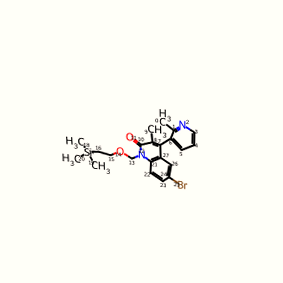 Cc1ncccc1-c1c(C)c(=O)n(COCC[Si](C)(C)C)c2ccc(Br)cc12